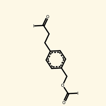 O=C(I)CCc1ccc(COC(=O)I)cc1